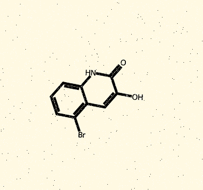 O=c1[nH]c2cccc(Br)c2cc1O